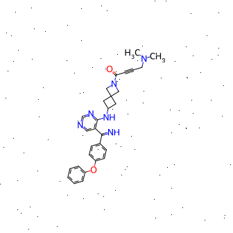 CN(C)CC#CC(=O)N1CC2(CC(Nc3ncncc3C(=N)c3ccc(Oc4ccccc4)cc3)C2)C1